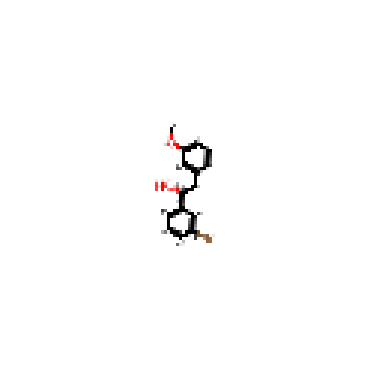 COc1cccc(CC(O)c2cccc(Br)c2)c1